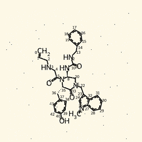 C=CCNCC(=O)N1[C@@H](NC(=O)NCc2ccccc2)CN(Cc2cn(C)c3ccccc23)C(=O)[C@@H]1Cc1ccc(O)cc1